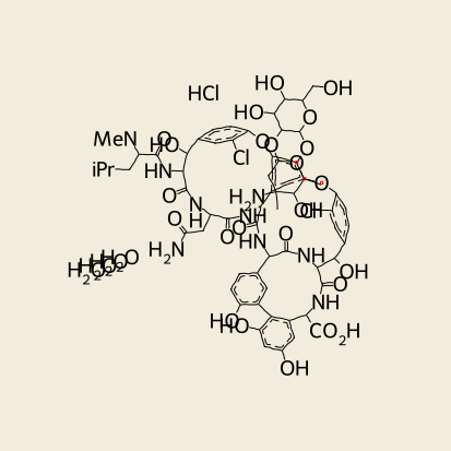 CNC(CC(C)C)C(=O)NC1C(=O)NC(CC(N)=O)C(=O)NC2C(=O)NC3C(=O)NC(C(=O)NC(C(=O)O)c4cc(O)cc(O)c4-c4cc3ccc4O)C(O)c3ccc(c(Cl)c3)Oc3cc2cc(c3OC2OC(CO)C(O)C(O)C2OC2CC(C)(N)C(O)C(C)O2)Oc2ccc(cc2Cl)C1O.Cl.O.O.O.O